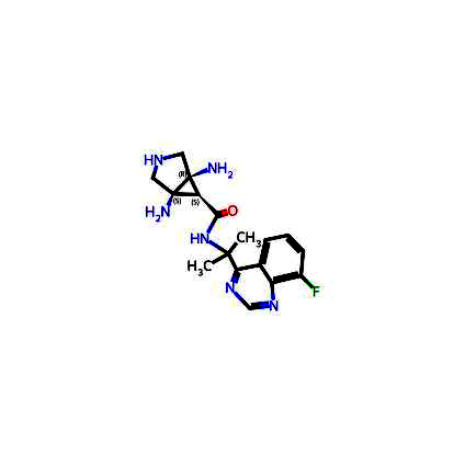 CC(C)(NC(=O)[C@H]1[C@]2(N)CNC[C@]12N)c1ncnc2c(F)cccc12